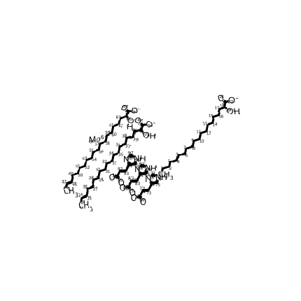 CCCCCCCCCCCCCCCCCCC(O)C(=O)[O-].CCCCCCCCCCCCCCCCCCC(O)C(=O)[O-].CCCCCCCCCCCCCCCCCCC(O)C(=O)[O-].O=C([O-])C=Cc1c[nH]cn1.O=C([O-])C=Cc1c[nH]cn1.O=C([O-])C=Cc1c[nH]cn1.[Mo+6]